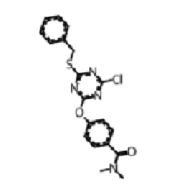 CN(C)C(=O)c1ccc(Oc2nc(Cl)nc(SCc3ccccc3)n2)cc1